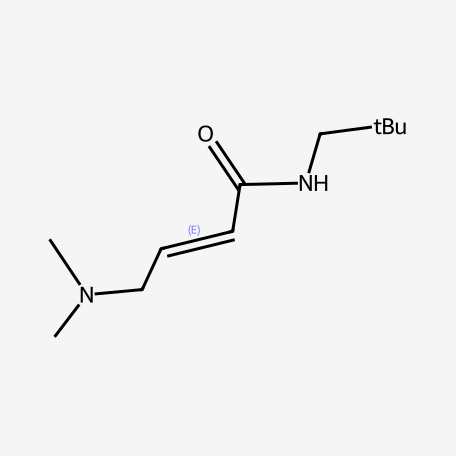 CN(C)C/C=C/C(=O)NCC(C)(C)C